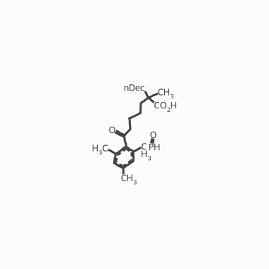 CCCCCCCCCCC(C)(CCCCC(=O)c1c(C)cc(C)cc1C)C(=O)O.O=P